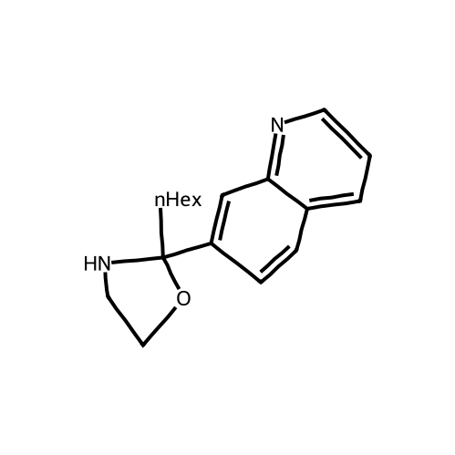 [CH2]CCCCCC1(c2ccc3cccnc3c2)NCCO1